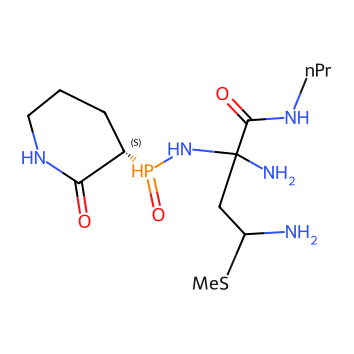 CCCNC(=O)C(N)(CC(N)SC)N[PH](=O)[C@H]1CCCNC1=O